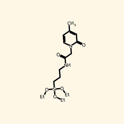 CCO[Si](CCCNC(=O)Cn1ccc(C)cc1=O)(OCC)OCC